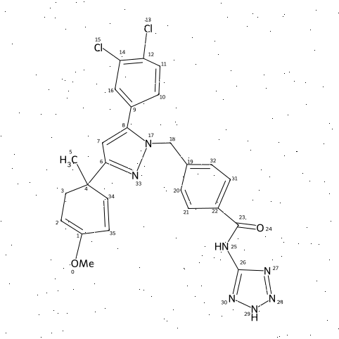 COC1=CCC(C)(c2cc(-c3ccc(Cl)c(Cl)c3)n(Cc3ccc(C(=O)Nc4nn[nH]n4)cc3)n2)C=C1